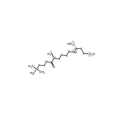 C[N+](C)(C)CCOC(=O)[C@@H](N)CCCCN[C@@H](CCC(=O)O)C(=O)O